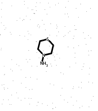 NN1CCSCC1